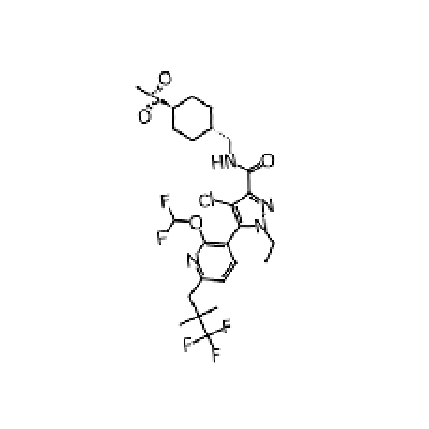 CCn1nc(C(=O)NC[C@H]2CC[C@H](S(C)(=O)=O)CC2)c(Cl)c1-c1ccc(CC(C)(C)C(F)(F)F)nc1OC(F)F